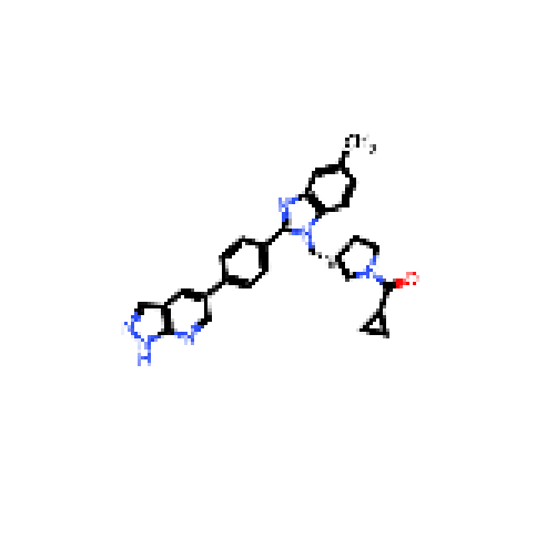 Cc1ccc2c(c1)nc(-c1ccc(-c3cnc4[nH]ncc4c3)cc1)n2C[C@@H]1CCN(C(=O)C2CC2)C1